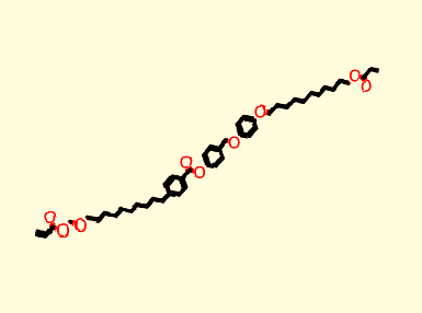 C=CC(=O)OCOCCCCCCCCCCc1ccc(C(=O)Oc2ccc(COc3ccc(OCCCCCCCCCCCOC(=O)CC)cc3)cc2)cc1